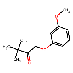 COc1cccc(OCC(=O)C(C)(C)C)c1